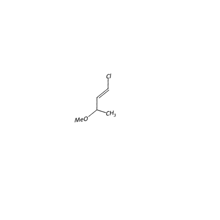 COC(C)C=CCl